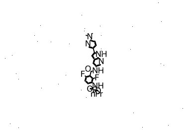 CCCS(=O)(=O)Nc1ccc(F)c(C(=O)Nc2cnc3[nH]c(-c4ccc(N(C)C)nc4)cc3c2)c1F